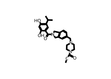 CCC(=O)N1CCN(Cc2ccc3c(c2)CN(C(=O)c2cc(C(C)C)c(O)cc2O)C3)CC1